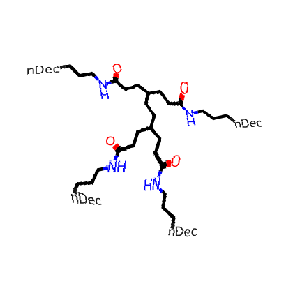 CCCCCCCCCCCCCNC(=O)CCC(CCC(=O)NCCCCCCCCCCCCC)CCC(CCC(=O)NCCCCCCCCCCCCC)CCC(=O)NCCCCCCCCCCCCC